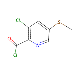 CSc1cnc(C(=O)Cl)c(Cl)c1